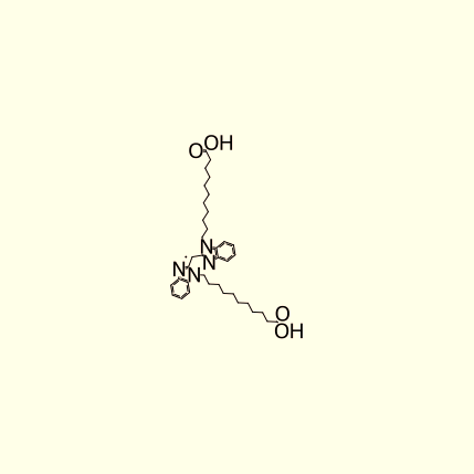 O=C(O)CCCCCCCCCCn1c([CH]c2nc3ccccc3n2CCCCCCCCCCC(=O)O)nc2ccccc21